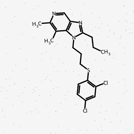 CCCc1nc2cnc(C)c(C)c2n1CCCSc1ccc(Cl)cc1Cl